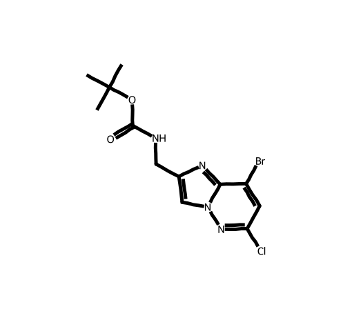 CC(C)(C)OC(=O)NCc1cn2nc(Cl)cc(Br)c2n1